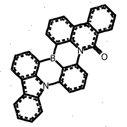 O=c1c2ccccc2c2cccc3c2n1-c1cccc2c1B3c1cccc3c4ccccc4n-2c13